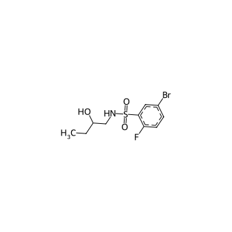 CCC(O)CNS(=O)(=O)c1cc(Br)ccc1F